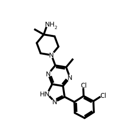 Cc1nc2c(-c3cccc(Cl)c3Cl)n[nH]c2nc1N1CCC(C)(N)CC1